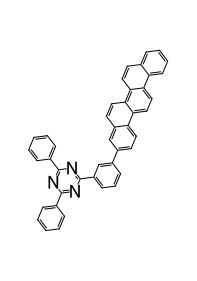 c1ccc(-c2nc(-c3ccccc3)nc(-c3cccc(-c4ccc5c(ccc6c5ccc5c7ccccc7ccc56)c4)c3)n2)cc1